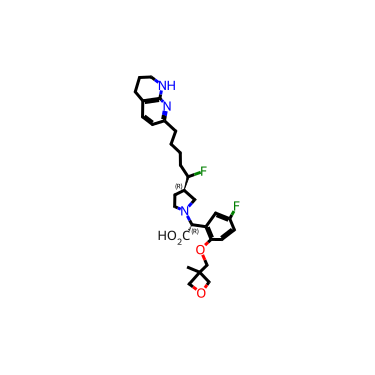 CC1(COc2ccc(F)cc2[C@H](C(=O)O)N2CC[C@@H](C(F)CCCCc3ccc4c(n3)NCCC4)C2)COC1